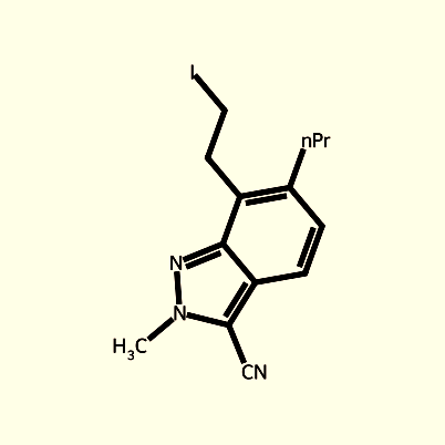 CCCc1ccc2c(C#N)n(C)nc2c1CCI